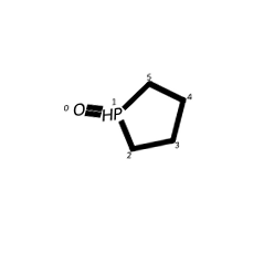 O=[PH]1CCCC1